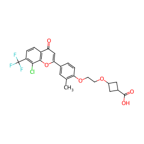 Cc1cc(-c2cc(=O)c3ccc(C(F)(F)F)c(Cl)c3o2)ccc1OCCOC1CC(C(=O)O)C1